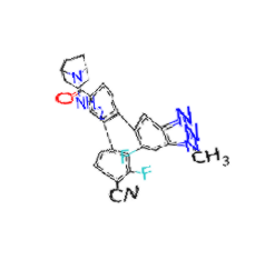 Cn1nnc2cc(-c3ccc(C(=O)N4C5CCC4CC(N)C5)cc3-c3ccc(C#N)c(F)c3)c(F)cc21